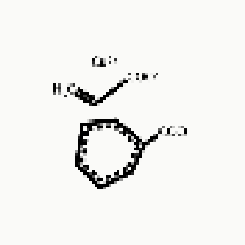 C=CC(=O)[O-].O=C([O-])c1ccccc1.[Cu+2]